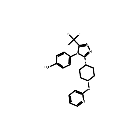 Cc1ccc(-n2c(C(F)(F)I)nnc2[C@H]2CC[C@H](Oc3ccccn3)CC2)cc1